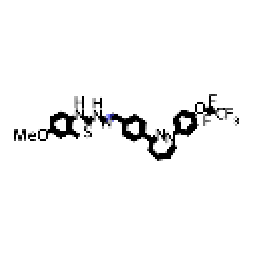 COc1ccc(NC(=S)N/N=C/c2ccc(C3=NN(c4ccc(OC(F)(F)C(F)(F)F)cc4)C=C=CC3)cc2)c(C)c1